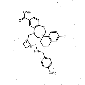 COC(=O)c1ccc2c(c1)N(C[C@@H]1CC[C@H]1CNCc1ccc(OC)cc1)C[C@@]1(CCCc3cc(Cl)ccc31)CO2